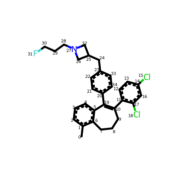 Cc1cccc2c1CCCC(c1ccc(Cl)cc1Cl)=C2c1ccc(CC2CN(CCCF)C2)cc1